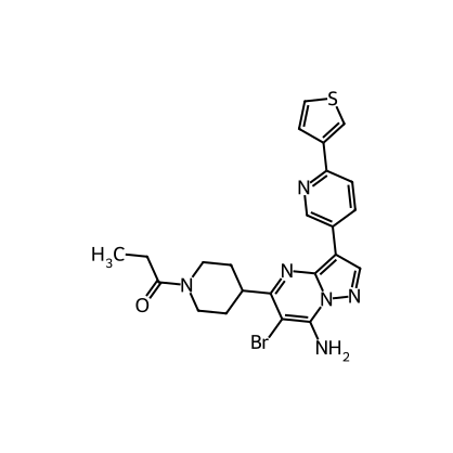 CCC(=O)N1CCC(c2nc3c(-c4ccc(-c5ccsc5)nc4)cnn3c(N)c2Br)CC1